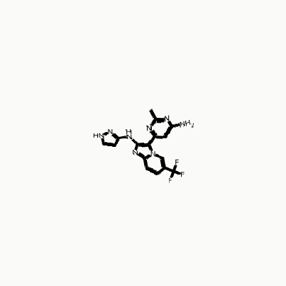 Cc1nc(N)cc(-c2c(Nc3cc[nH]n3)nc3ccc(C(F)(F)F)cn23)n1